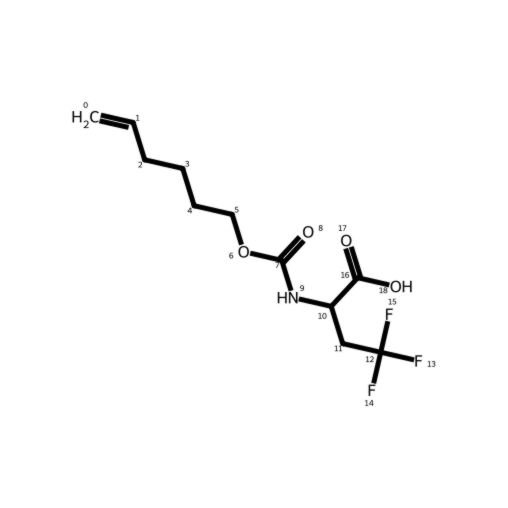 C=CCCCCOC(=O)NC(CC(F)(F)F)C(=O)O